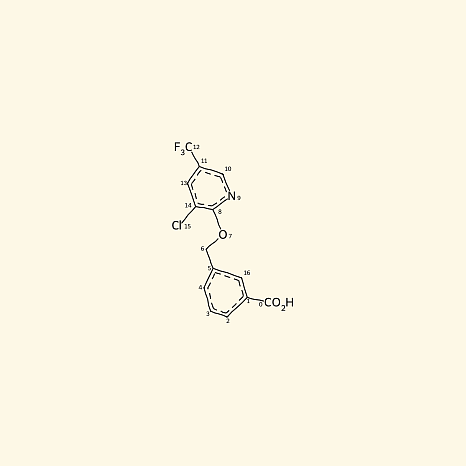 O=C(O)c1cccc(COc2ncc(C(F)(F)F)cc2Cl)c1